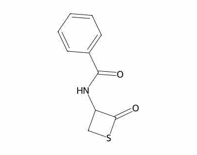 O=C(NC1CSC1=O)c1ccccc1